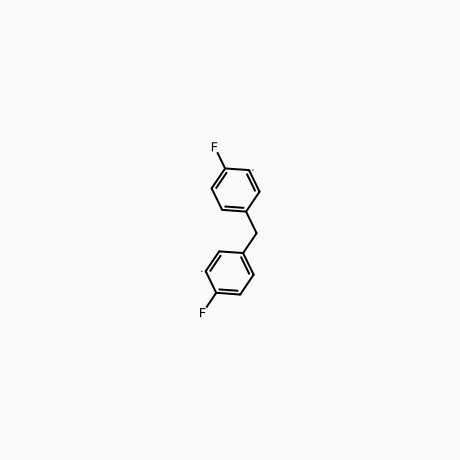 Fc1[c]cc(Cc2c[c]c(F)cc2)cc1